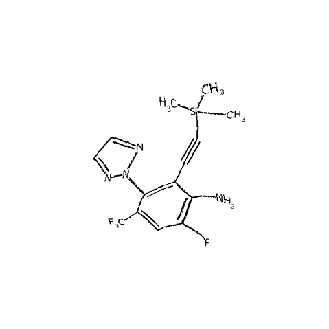 C[Si](C)(C)C#Cc1c(N)c(F)cc(C(F)(F)F)c1-n1nccn1